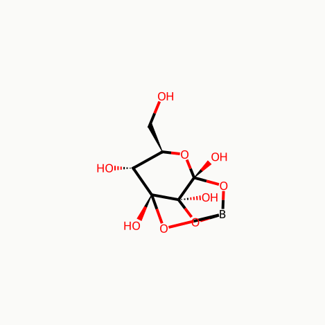 OC[C@H]1O[C@]2(O)OB3O[C@@]2(O)[C@](O)(O3)[C@@H]1O